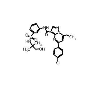 CCc1cc(-c2ccc(Cl)cc2)nc2c(C(=O)Nc3cccc(S(=O)(=O)NC(C)(C)CO)c3)cnn12